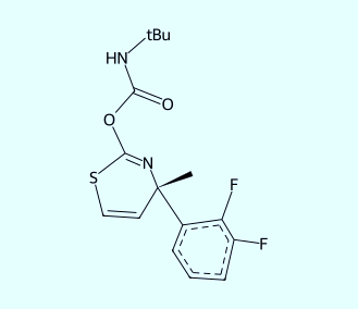 CC(C)(C)NC(=O)OC1=N[C@](C)(c2cccc(F)c2F)C=CS1